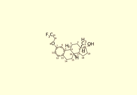 C[C@]12CC[C@@H]3c4cc(OCC(F)(F)F)[c]cc4CC[C@H]3[C@@H]1CC[C@H]2O